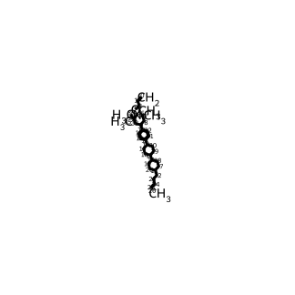 C=CCON1C(C)(C)CC(c2ccc(C3CCC(C4CCC(CC/C=C/C)CC4)CC3)cc2)CC1(C)C